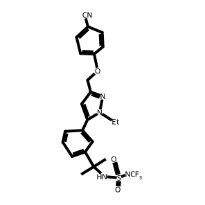 CCn1nc(COc2ccc(C#N)cc2)cc1-c1cccc(C(C)(C)NS(=O)(=O)NC(F)(F)F)c1